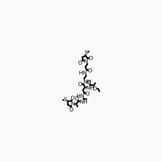 CCOC(C)C(=O)NC(CC(=O)NC(C)NC(=O)C(C)N1C(=O)CC(SC)C1=O)C(=O)NCCNC(=O)CCN1C(=O)CC(SC)C1=O